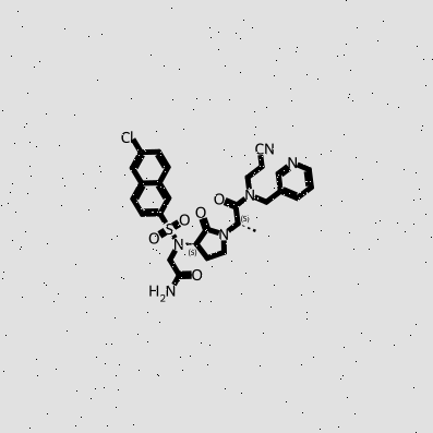 C[C@@H](C(=O)N(CCC#N)Cc1cccnc1)N1CC[C@H](N(CC(N)=O)S(=O)(=O)c2ccc3cc(Cl)ccc3c2)C1=O